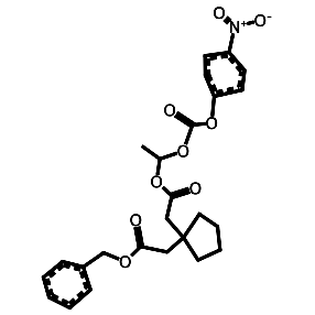 CC(OC(=O)CC1(CC(=O)OCc2ccccc2)CCCC1)OC(=O)Oc1ccc([N+](=O)[O-])cc1